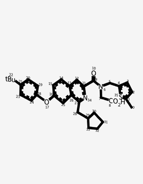 Cc1ccc(CN(CC(=O)O)C(=O)c2cc3ccc(Oc4ccc(C(C)(C)C)cc4)cc3c(CC3CCCC3)n2)s1